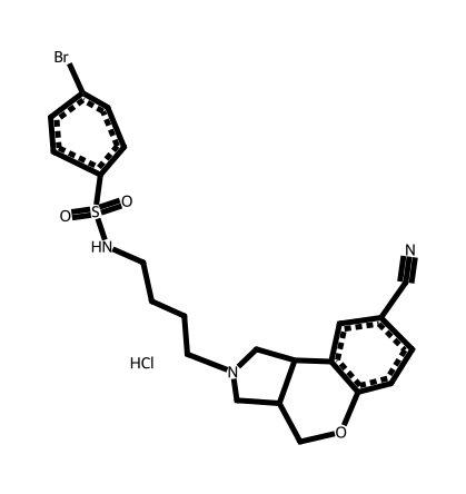 Cl.N#Cc1ccc2c(c1)C1CN(CCCCNS(=O)(=O)c3ccc(Br)cc3)CC1CO2